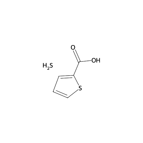 O=C(O)c1cccs1.S